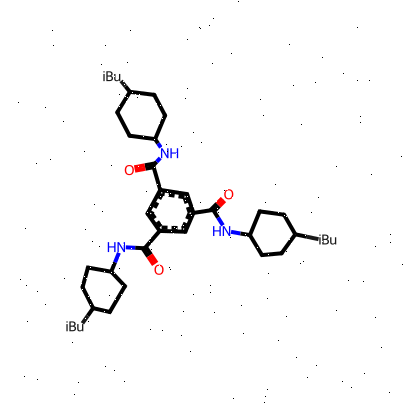 CCC(C)C1CCC(NC(=O)c2cc(C(=O)NC3CCC(C(C)CC)CC3)cc(C(=O)NC3CCC(C(C)CC)CC3)c2)CC1